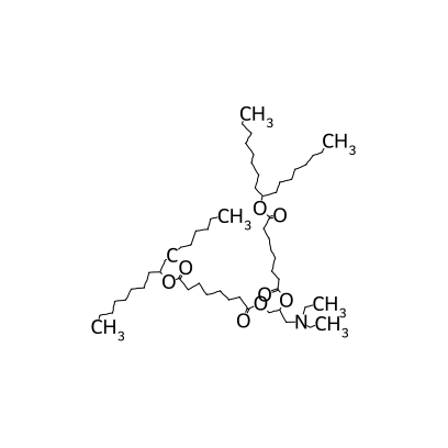 CCCCCCCCC(CCCCCCCC)OC(=O)CCCCCCC(=O)OCC(CN(CC)CC)OC(=O)CCCCCCC(=O)OC(CCCCCCCC)CCCCCCCC